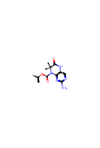 C=C(C)OC(=O)N1c2nc(N)ncc2NC(=O)C1(C)C